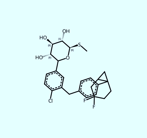 CS[C@H]1OC(c2ccc(Cl)c(Cc3ccc(C45CCC(F)(F)CC4C5)cc3)c2)[C@H](O)[C@@H](O)[C@@H]1O